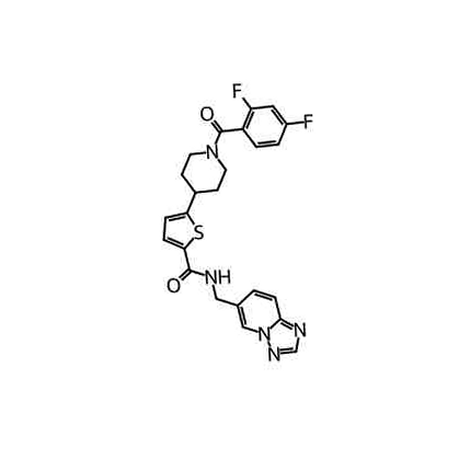 O=C(NCc1ccc2ncnn2c1)c1ccc(C2CCN(C(=O)c3ccc(F)cc3F)CC2)s1